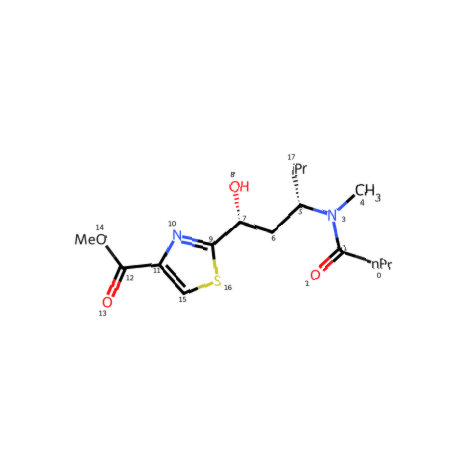 CCCC(=O)N(C)[C@H](C[C@@H](O)c1nc(C(=O)OC)cs1)C(C)C